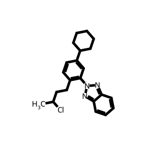 CC(Cl)CCc1ccc(C2CCCCC2)cc1-n1nc2ccccc2n1